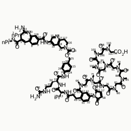 CCCN(CCC)C(=O)C1=Cc2ccc(C(=O)Nc3cnc4c(c3)CN(C(=O)OCc3ccc(NC(=O)[C@H](CCCNC(N)=O)NC(=O)[C@@H](NC(=O)CCc5ccc(N6C(=O)C=CC6=O)cc5C(=O)N(C)CC(=O)N(C)CC(=O)NCC(=O)N(C)CC(=O)N(C)CC(=O)N(C)CC(=O)N(C)CC(=O)N(C)CC(=O)N(C)CC(=O)N(C)CC(=O)O)C(C)C)cc3)CC4)cc2N=C(N)C1